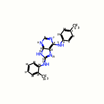 FC(F)(F)c1ccc(Nc2ncnc3[nH]c(Nc4ccccc4C(F)(F)F)nc23)cc1